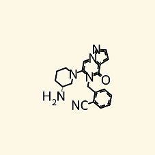 N#Cc1ccccc1Cn1c(N2CCC[C@@H](N)C2)cn2nccc2c1=O